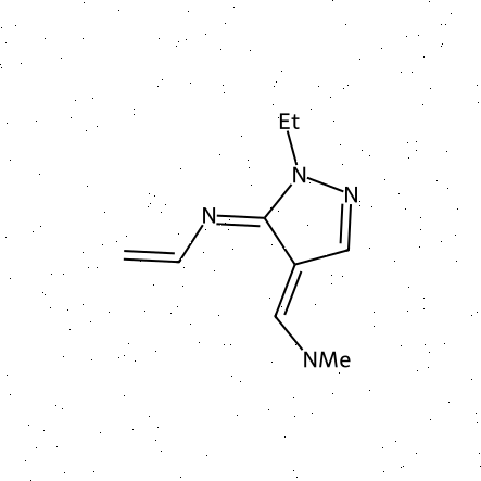 C=C/N=C1\C(=C\NC)C=NN1CC